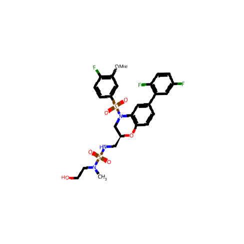 COc1cc(S(=O)(=O)N2C[C@H](CNS(=O)(=O)N(C)CCO)Oc3ccc(-c4cc(F)ccc4F)cc32)ccc1F